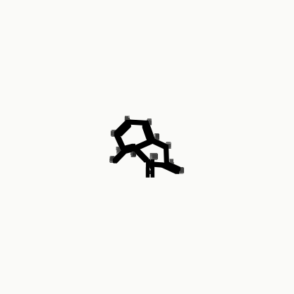 C=C1Cc2cccc(C)c2N1